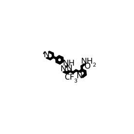 CN1CCC(c2ccc(Nc3ncc(C(F)(F)F)c(CCc4ncccc4CC(N)=O)n3)cc2)CC1